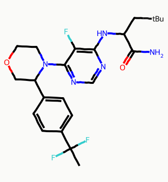 CC(C)(C)CC(Nc1ncnc(N2CCOCC2c2ccc(C(C)(F)F)cc2)c1F)C(N)=O